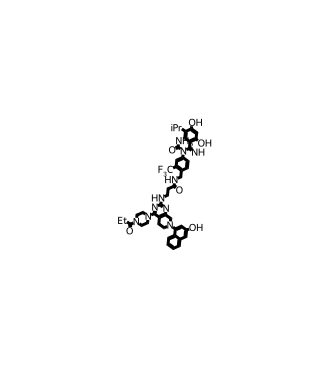 CCC(=O)N1CCN(c2nc(NCCC(=O)NCc3ccc(N(C(=N)c4cc(C(C)C)c(O)cc4O)C(N)=O)cc3C(F)(F)F)nc3c2CCN(c2cc(O)cc4ccccc24)C3)CC1